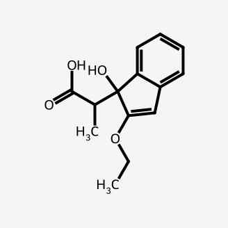 CCOC1=Cc2ccccc2C1(O)C(C)C(=O)O